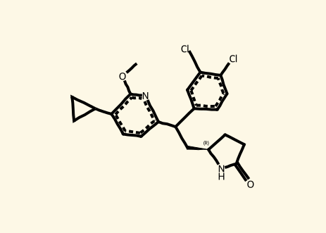 COc1nc(C(C[C@H]2CCC(=O)N2)c2ccc(Cl)c(Cl)c2)ccc1C1CC1